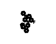 Fc1cccc(N(c2ccc3c(c2)C2(c4ccccc4-3)C3CC4CC(C3)CC2C4)c2cccc3c2c2ccccc2n3-c2ccccc2)c1